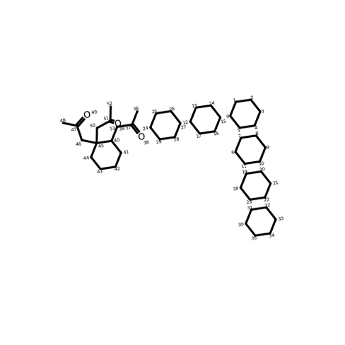 C1CCCCC1.C1CCCCC1.C1CCCCC1.C1CCCCC1.C1CCCCC1.C1CCCCC1.CC(=O)CC1CCCCC1(CC(C)=O)CC(C)=O